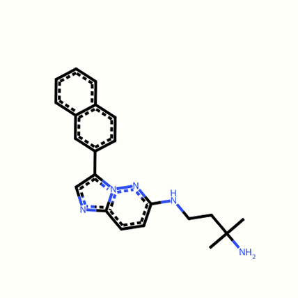 CC(C)(N)CCNc1ccc2ncc(-c3ccc4ccccc4c3)n2n1